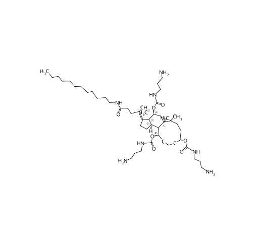 CCCCCCCCCCCCNC(=O)CC/C(C)=C1\CC[C@H]2C3[C@H](OC(=O)NCCCN)CCCC(OC(=O)NCCCN)CCC(C)(C)[C@H]3C[C@H](OC(=O)NCCCN)[C@]12C